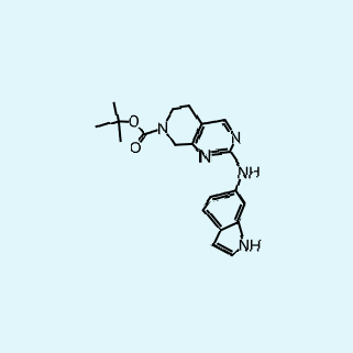 CC(C)(C)OC(=O)N1CCc2cnc(Nc3ccc4cc[nH]c4c3)nc2C1